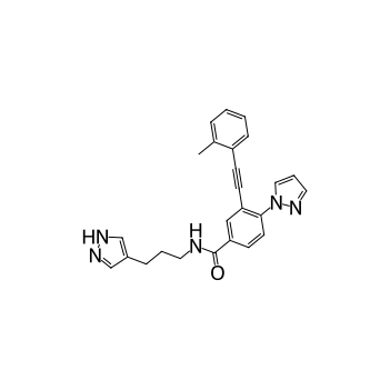 Cc1ccccc1C#Cc1cc(C(=O)NCCCc2cn[nH]c2)ccc1-n1cccn1